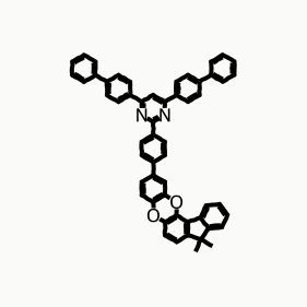 CC1(C)c2ccccc2-c2c1ccc1c2Oc2cc(-c3ccc(-c4nc(-c5ccc(-c6ccccc6)cc5)cc(-c5ccc(-c6ccccc6)cc5)n4)cc3)ccc2O1